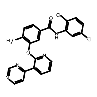 Cc1ccc(C(=O)Nc2cc(Cl)ccc2Cl)cc1Oc1ncccc1-c1ccncn1